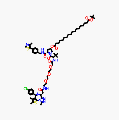 Cc1ncsc1-c1ccc(CNC(=O)[C@@H]2C[C@@H](OC(=O)CCCCCCCCCCCCCCCCC(=O)OC(C)(C)C)CN2C(=O)[C@@H](NC(=O)COCCOCCOCCNC(=O)C[C@@H]2N=C(c3ccc(Cl)cc3)c3c(sc(C)c3C)-n3c(C)nnc32)C(C)(C)C)cc1